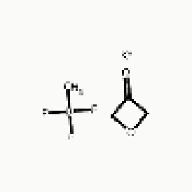 C[B-](F)(F)F.O=C1COC1.[K+]